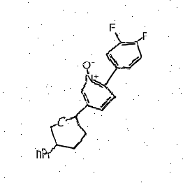 CCCC1CCC(c2ccc(-c3ccc(F)c(F)c3)[n+]([O-])c2)CC1